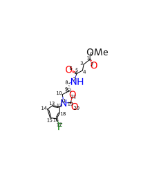 COC(=O)CCC(=O)NC[C@H]1CN(c2cccc(F)c2)C(=O)O1